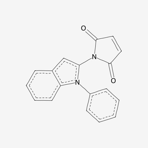 O=C1C=CC(=O)N1c1cc2ccccc2n1-c1ccccc1